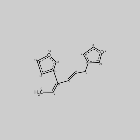 [CH2]C=C(C=CCc1ccoc1)c1ccoc1